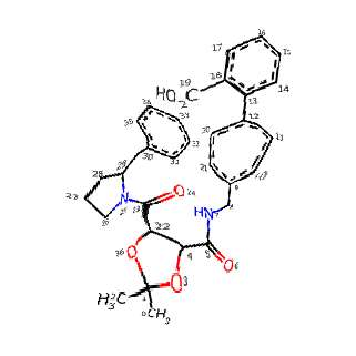 CC1(C)OC(C(=O)NCc2ccc(-c3ccccc3C(=O)O)cc2)[C@H](C(=O)N2CCCC2c2ccccc2)O1